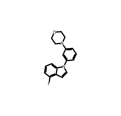 Fc1cccc2c1ccn2-c1[c]ccc(N2CCOCC2)c1